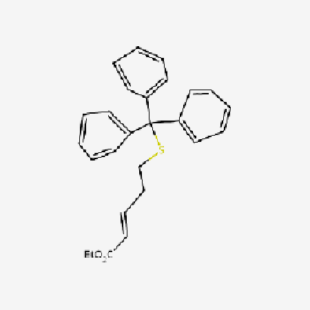 CCOC(=O)C=CCCSC(c1ccccc1)(c1ccccc1)c1ccccc1